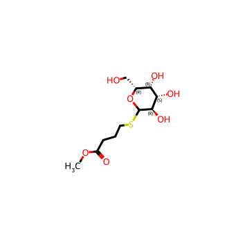 COC(=O)CCCSC1O[C@H](CO)[C@H](O)[C@H](O)[C@H]1O